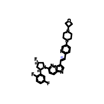 Fc1ccc(F)c([C@H]2C[C@H](F)CN2c2ccc3ncc(/C=C/c4ccc(N5CCN(C6COC6)CC5)cn4)n3n2)c1